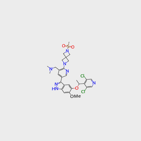 COc1cc2[nH]nc(-c3cnc(N4CC5(C4)CN(S(C)(=O)=O)C5)c(CN(C)C)c3)c2cc1OC(C)c1c(Cl)cncc1Cl